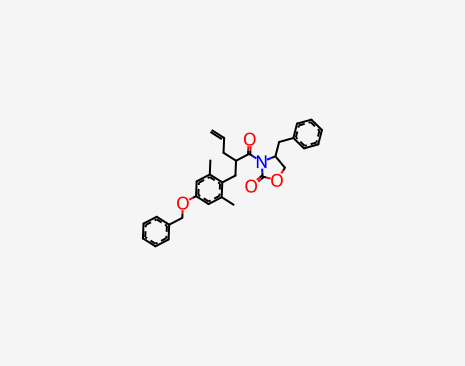 C=CCC(Cc1c(C)cc(OCc2ccccc2)cc1C)C(=O)N1C(=O)OCC1Cc1ccccc1